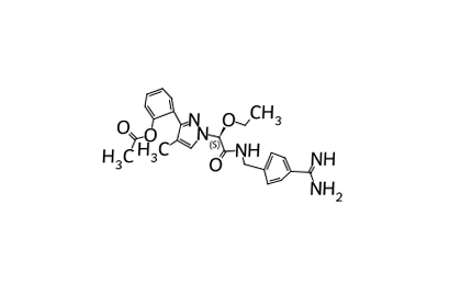 CCO[C@@H](C(=O)NCc1ccc(C(=N)N)cc1)n1cc(C)c(-c2ccccc2OC(C)=O)n1